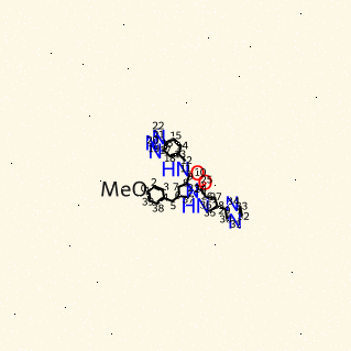 COc1ccc(CC2CC(C(=O)NCc3ccc4c(c3)nnn4C)N(C(=O)C3CC(c4cnccn4)CN3)C2)cc1